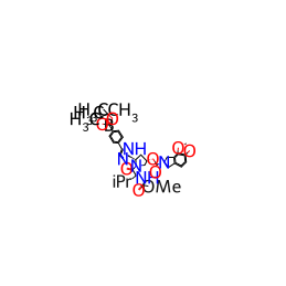 COC(=O)NC(C(=O)N1C[C@@H](OC(=O)N2Cc3ccc4c(c3C2)OCO4)C[C@@H]1c1ncc(-c2ccc(B3OC(C)(C)C(C)(C)O3)cc2)[nH]1)C(C)C